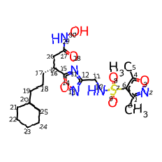 Cc1noc(C)c1S(=O)(=O)NCc1noc([C@H](CCCC2CCCCC2)CC(=O)NO)n1